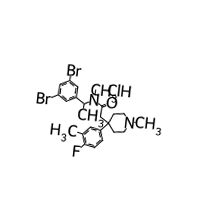 Cc1cc(C2(CC(=O)N(C)C(C)c3cc(Br)cc(Br)c3)CCN(C)CC2)ccc1F.Cl